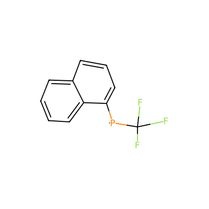 FC(F)(F)[P]c1cccc2ccccc12